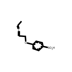 CC=C=CCOc1ccc(S(=O)(=O)O)cc1